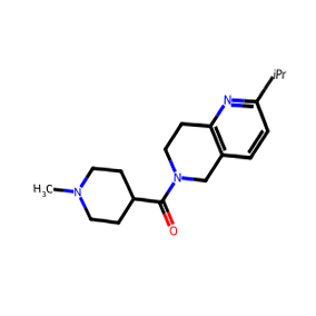 CC(C)c1ccc2c(n1)CCN(C(=O)C1CCN(C)CC1)C2